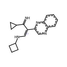 N=C(/C(=C\NC1CCC1)c1cnc2ccccc2n1)C1CC1